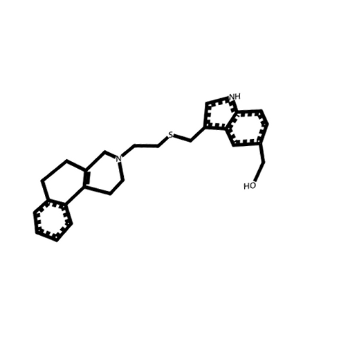 OCc1ccc2[nH]cc(CSCCN3CCC4=C(CCc5ccccc54)C3)c2c1